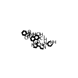 Cc1ccc2c(NS(=O)(=O)c3ccccc3Cl)cccc2c1Oc1nnccc1-c1ccnc(N[C@H]2CCCNC2)n1.Cl